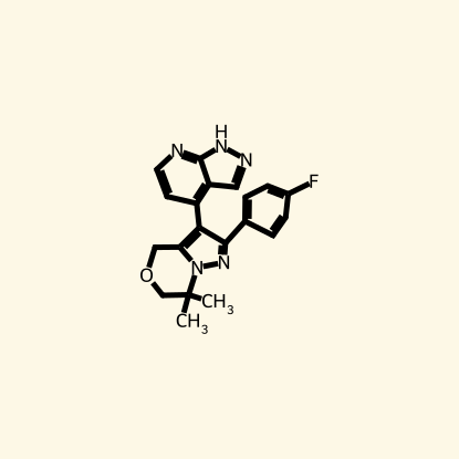 CC1(C)COCc2c(-c3ccnc4[nH]ncc34)c(-c3ccc(F)cc3)nn21